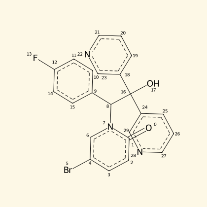 O=c1ccc(Br)cn1C(c1ccc(F)cc1)C(O)(c1cccnc1)c1cccnc1